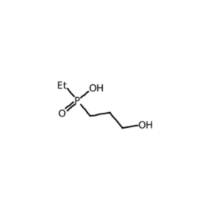 CCP(=O)(O)CCCO